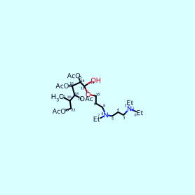 CCN(CC)CCCN(CC)CCCOC(O)C(OC(C)=O)C(OC(C)=O)C(OC(C)=O)C(C)COC(C)=O